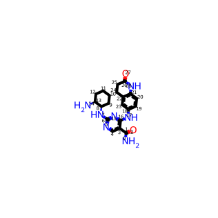 NC(=O)c1cnc(N[C@@H]2CCCC[C@@H]2N)nc1Nc1ccc2c(c1)CCC(=O)N2